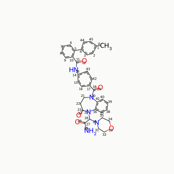 Cc1ccc(-c2ccccc2C(=O)Nc2ccc(C(=O)N3CCC(=O)N(C(C(N)=O)N4CCOCC4)c4ccccc43)cc2)cc1